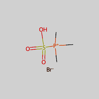 C[P+](C)(C)S(=O)(=O)O.[Br-]